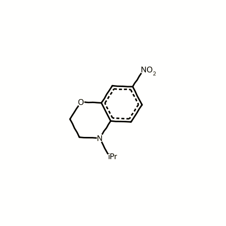 CC(C)N1CCOc2cc([N+](=O)[O-])ccc21